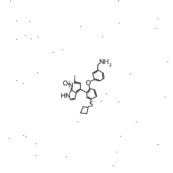 Cc1cc(-c2cc(SC3CCC3)ccc2Oc2cccc(CN)c2)c2cc[nH]c2[n+]1[O-]